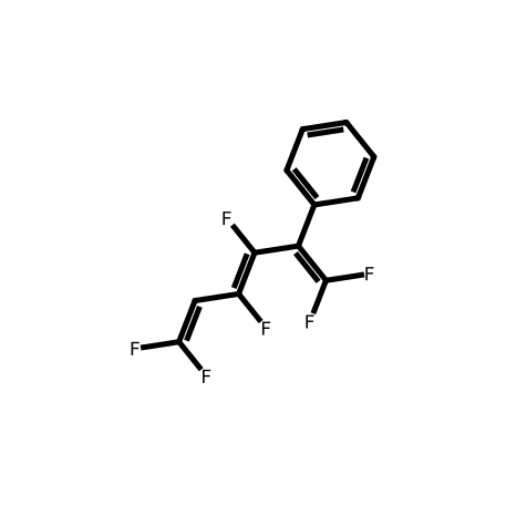 FC(F)=CC(F)=C(F)C(=C(F)F)c1ccccc1